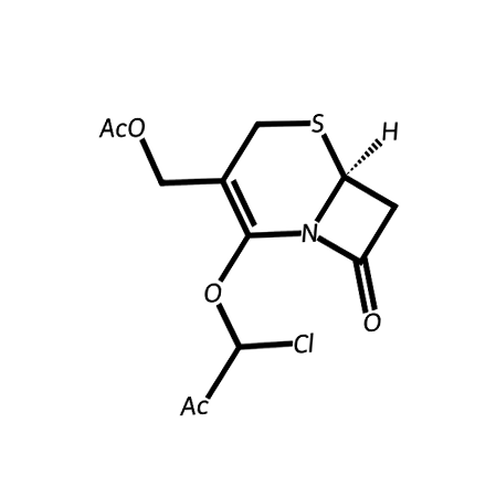 CC(=O)OCC1=C(OC(Cl)C(C)=O)N2C(=O)C[C@@H]2SC1